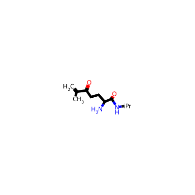 C=C(C)C(=O)CCC(N)C(=O)NC(C)C